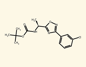 C[C@H](NC(=O)OC(C)(C)C)c1nc(-c2cccc(Cl)c2)no1